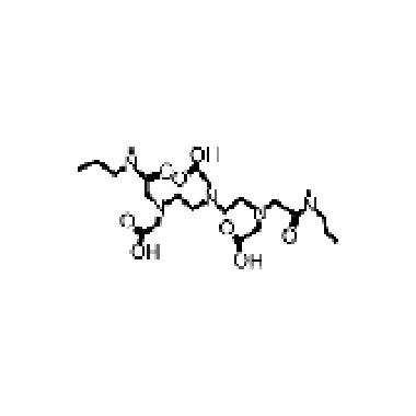 CCCN(C)C(=O)CN(CCN(CCN(CC(=O)O)CC(=O)N(C)CCC)CC(=O)O)CC(=O)O